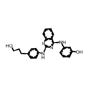 OCCCc1ccc(Nc2nc(Nc3cccc(O)c3)c3ccccc3n2)cc1